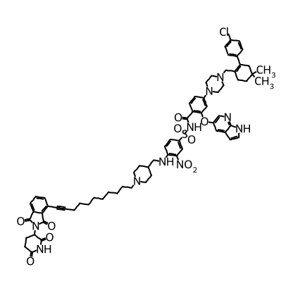 CC1(C)CCC(CN2CCN(c3ccc(C(=O)NS(=O)(=O)c4ccc(NCC5CCN(CCCCCCCCCC#Cc6cccc7c6C(=O)N(C6CCC(=O)NC6=O)C7=O)CC5)c([N+](=O)[O-])c4)c(Oc4cnc5[nH]ccc5c4)c3)CC2)=C(c2ccc(Cl)cc2)C1